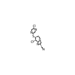 N#Cc1cn2ccc(Sc3cnc(Cl)cn3)c(Cl)c2n1